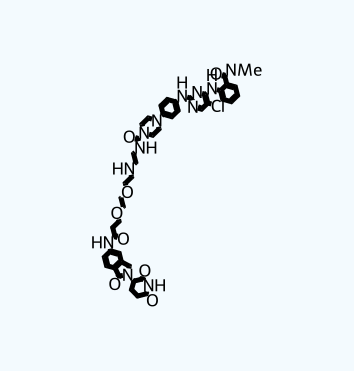 CNC(=O)c1ccccc1Nc1nc(Nc2ccc(N3CCN(C(=O)NCCNCCOCCOCCC(=O)Nc4ccc5c(c4)CN(C4CCC(=O)NC4=O)C5=O)CC3)cc2)ncc1Cl